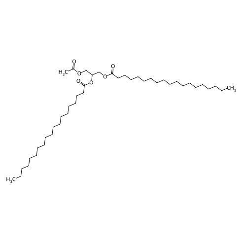 CCCCCCCCCCCCCCCCCCC(=O)OCC(COC(C)=O)OC(=O)CCCCCCCCCCCCCCCCCC